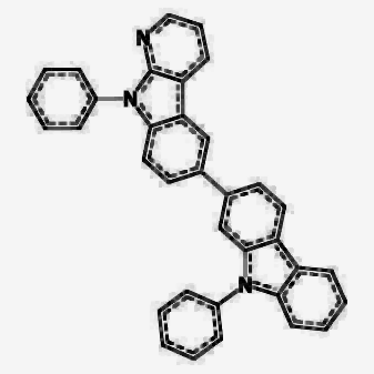 c1ccc(-n2c3ccccc3c3ccc(-c4ccc5c(c4)c4cccnc4n5-c4ccccc4)cc32)cc1